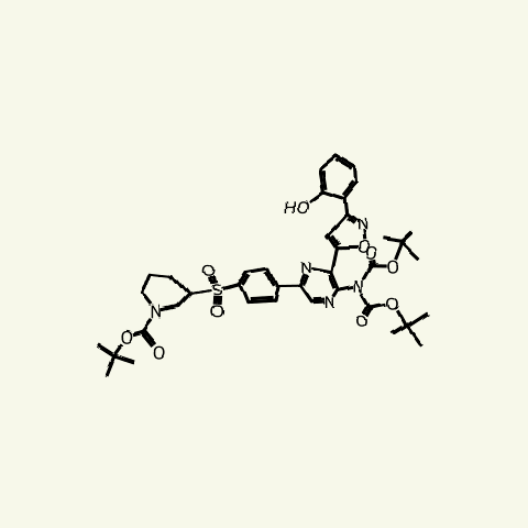 CC(C)(C)OC(=O)N1CCCC(S(=O)(=O)c2ccc(-c3cnc(N(C(=O)OC(C)(C)C)C(=O)OC(C)(C)C)c(-c4cc(-c5ccccc5O)no4)n3)cc2)C1